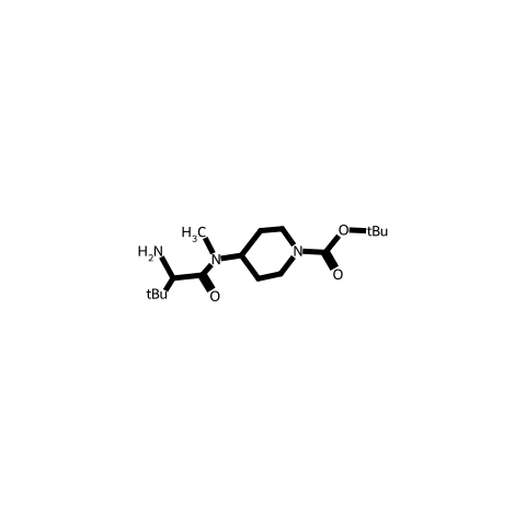 CN(C(=O)C(N)C(C)(C)C)C1CCN(C(=O)OC(C)(C)C)CC1